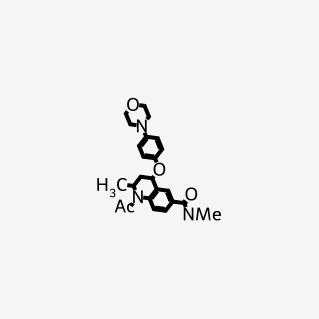 CNC(=O)c1ccc2c(c1)C(Oc1ccc(N3CCOCC3)cc1)CC(C)N2C(C)=O